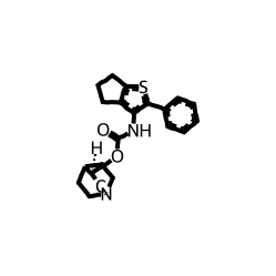 O=C(Nc1c(-c2ccccc2)sc2c1CCC2)O[C@H]1CN2CCC1CC2